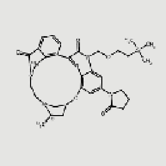 C[C@@H]1CC2CN1CCn1[nH]c3c(cccc3c1=O)-c1nc3c(cc(N4CCCC4=O)cc3n(COCC[Si](C)(C)C)c1=O)O2